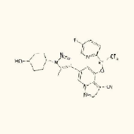 Cc1c(-c2cc(O[C@H](c3ccc(F)cn3)C(F)(F)F)c3c(C#N)cnn3c2)cnn1C1CCC(O)CC1